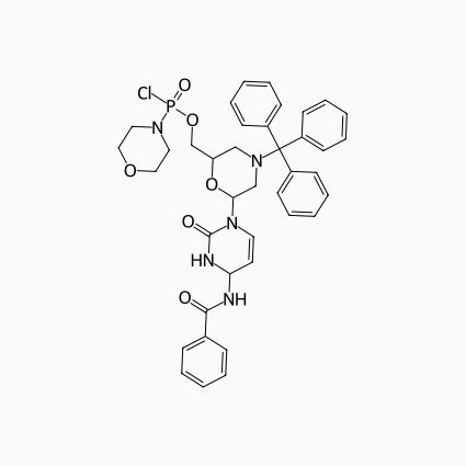 O=C(NC1C=CN(C2CN(C(c3ccccc3)(c3ccccc3)c3ccccc3)CC(COP(=O)(Cl)N3CCOCC3)O2)C(=O)N1)c1ccccc1